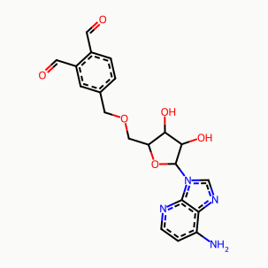 Nc1ccnc2c1ncn2C1OC(COCc2ccc(C=O)c(C=O)c2)C(O)C1O